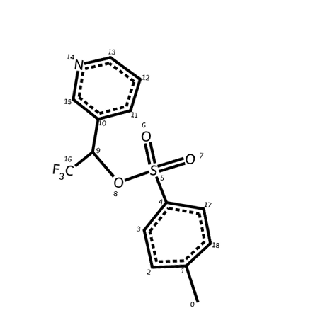 Cc1ccc(S(=O)(=O)OC(c2cccnc2)C(F)(F)F)cc1